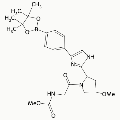 COC(=O)NCC(=O)N1CC(OC)CC1c1nc(-c2ccc(B3OC(C)(C)C(C)(C)O3)cc2)c[nH]1